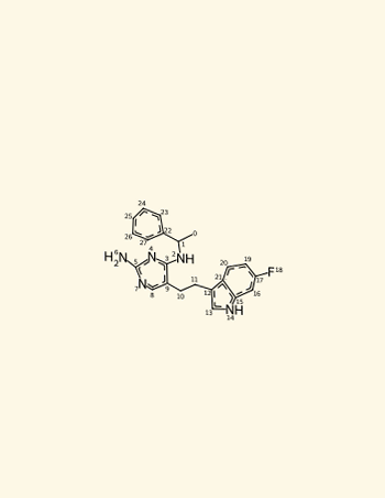 CC(Nc1nc(N)ncc1CCc1c[nH]c2cc(F)ccc12)c1ccccc1